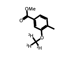 [2H]C([2H])([2H])Oc1cc(C(=O)OC)ccc1C